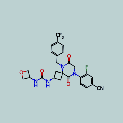 N#Cc1ccc(N2CC(=O)N(Cc3ccc(C(F)(F)F)cc3)[C@]3(C[C@H](NC(=O)NC4COC4)C3)C2=O)c(F)c1